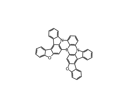 c1cc2c3c(c1)-n1c4ccccc4c4c5c(cc(c41)B3c1cc3oc4ccccc4c3c3c4ccccc4n-2c13)oc1ccccc15